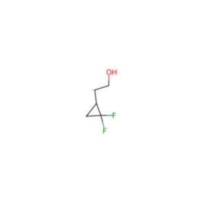 OC[CH]C1CC1(F)F